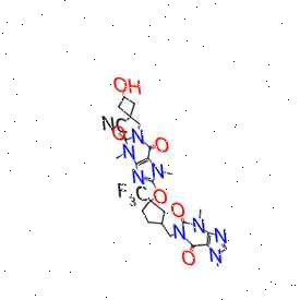 Cn1cnc2c1c(=O)n(CC1CCC(Oc3nc4c(c(=O)n(CC5(C#N)CC(O)C5)c(=O)n4C)n3C)(C(F)(F)F)C1)c(=O)n2C